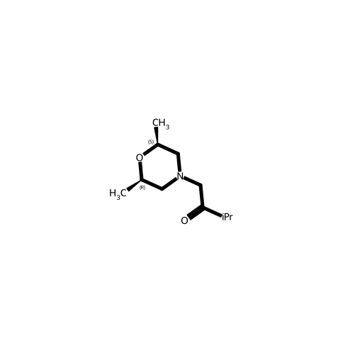 CC(C)C(=O)CN1C[C@@H](C)O[C@@H](C)C1